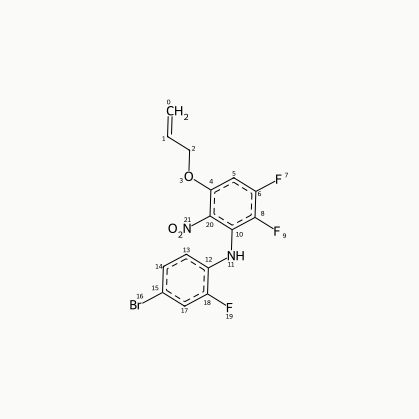 C=CCOc1cc(F)c(F)c(Nc2ccc(Br)cc2F)c1[N+](=O)[O-]